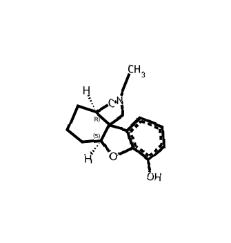 CN1CCC23c4cccc(O)c4O[C@H]2CCC[C@H]3C1